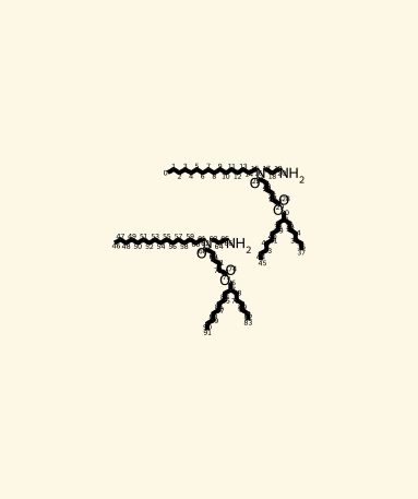 CCCCCCCCCCCCCCCCN(CCCN)C(=O)CCCCC(=O)OCC(CCCCCC)CCCCCCCC.CCCCCCCCCCCCCCCCN(CCCN)C(=O)CCCCC(=O)OCC(CCCCCC)CCCCCCCC